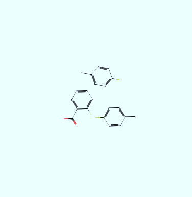 Cc1ccc(S)cc1.Cc1ccc(Sc2ccccc2C(=O)O)cc1